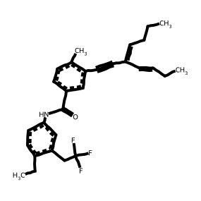 CC/C=C/C(C#Cc1cc(C(=O)Nc2ccc(CC)c(CC(F)(F)F)c2)ccc1C)=C\CCC